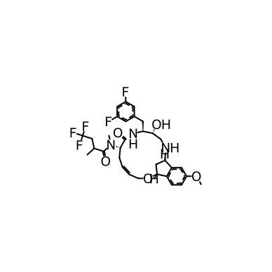 COc1ccc2c(c1)[C@@H]1C[C@H]2OC/C=C\C[C@H](N(C)C(=O)C(C)CC(F)(F)F)C(=O)N[C@@H](Cc2cc(F)cc(F)c2)[C@H](O)CN1